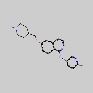 CC(=O)N1CCC(COc2ccc3c(Nc4ccc(Cl)nc4)nccc3c2)CC1